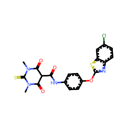 CN1C(=O)C(C(=O)Nc2ccc(Oc3nc4ccc(Cl)cc4s3)cc2)C(=O)N(C)C1=S